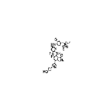 CCOP(=O)(Cc1ccc(Nc2ncc(C(F)(F)F)c(Nc3ccc(-c4cnn(C5CC(O)C5)c4)c4c3C(=O)N(C)C4)n2)c(OC)c1)OCC